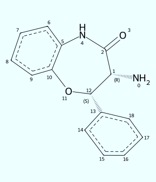 N[C@H]1C(=O)Nc2ccccc2O[C@H]1c1ccccc1